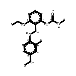 CCOc1cccc(OC(=O)OC)c1COc1ccc(CC)cc1C